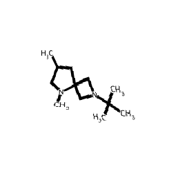 CC1CN(C)C2(C1)CN(C(C)(C)C)C2